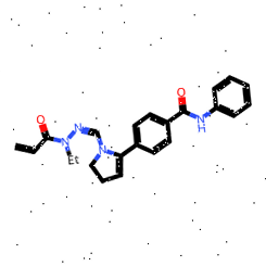 C=CC(=O)N(CC)/N=C\N1CCC=C1c1ccc(C(=O)Nc2ccccc2)cc1